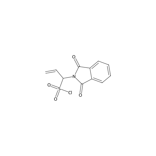 C=CC(N1C(=O)c2ccccc2C1=O)S(=O)(=O)Cl